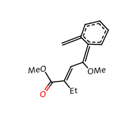 C=c1cccc/c1=C(/C=C(\CC)C(=O)OC)OC